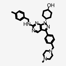 Cc1ccc(CNc2ncc3c(-c4ccc(CN5CCN(C)CC5)cc4)nn([C@H]4CC[C@H](O)CC4)c3n2)cc1